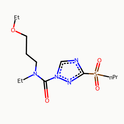 CCCS(=O)(=O)c1ncn(C(=O)N(CC)CCCOCC)n1